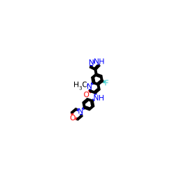 Cn1c(=O)c(Nc2ccc(N3CCOCC3)cc2)cc2c(F)cc(-c3cn[nH]c3)cc21